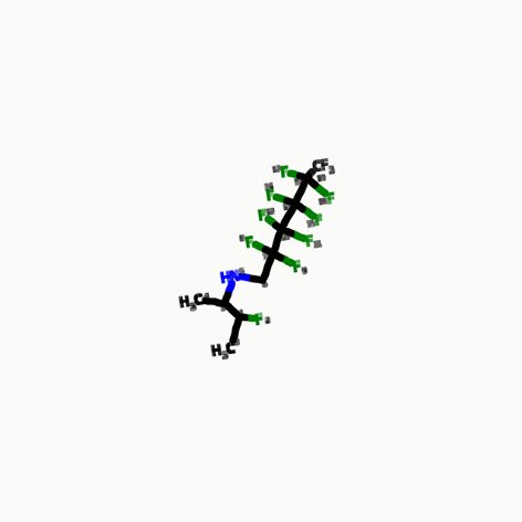 CC(F)C(C)NCC(F)(F)C(F)(F)C(F)(F)C(F)(F)C(F)(F)F